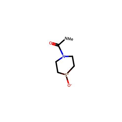 CNC(=O)N1CC[S+]([O-])CC1